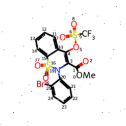 COC(=O)C1=C(OS(=O)(=O)C(F)(F)F)c2ccccc2S(=O)(=O)N1c1ccccc1Br